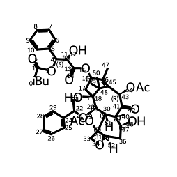 CCC(C)C(=O)O[C@@H](c1ccccc1)[C@@H](O)C(=O)O[C@@H]1C[C@@]2(O)[C@H](OC(C)c3ccccc3)[C@H]3[C@@]4(OC(C)=O)CO[C@@H]4C[C@H](O)[C@@]3(C)C(=O)[C@H](OC(C)=O)C(=C1C)C2(C)C